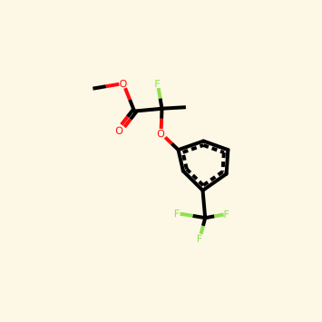 COC(=O)C(C)(F)Oc1cccc(C(F)(F)F)c1